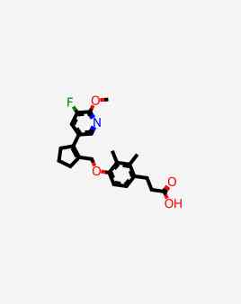 COc1ncc(C2=C(COc3ccc(CCC(=O)O)c(C)c3C)CCC2)cc1F